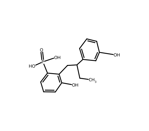 CCC(Cc1c(O)cccc1P(=O)(O)O)c1cccc(O)c1